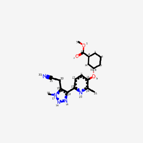 COC(=O)C1CCC[C@H](Oc2ccc(-c3nnn(C)c3CC#N)nc2C)C1